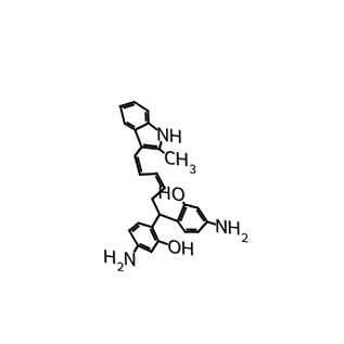 Cc1[nH]c2ccccc2c1/C=C\C=C/CC(c1ccc(N)cc1O)c1ccc(N)cc1O